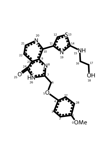 COc1ccc(OCc2nc3c(-c4csc(NCCO)n4)nccc3c(=O)[nH]2)cc1